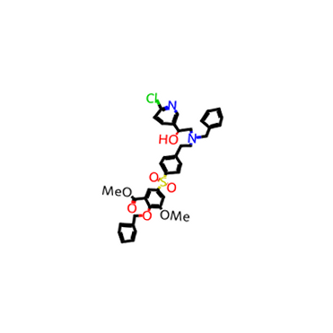 COC(=O)c1cc(S(=O)(=O)c2ccc(CCN(Cc3ccccc3)C[C@@H](O)c3ccc(Cl)nc3)cc2)cc(OC)c1OCc1ccccc1